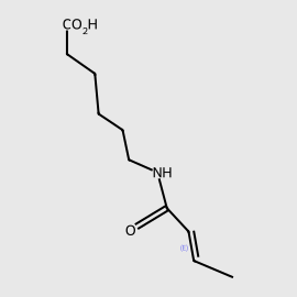 C/C=C/C(=O)NCCCCCC(=O)O